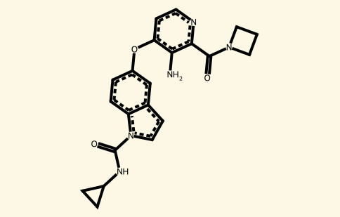 Nc1c(Oc2ccc3c(ccn3C(=O)NC3CC3)c2)ccnc1C(=O)N1CCC1